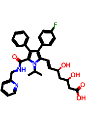 CC(C)n1c(/C=C/[C@@H](O)C[C@@H](O)CC(=O)O)c(-c2ccc(F)cc2)c(-c2ccccc2)c1C(=O)NCc1ccccn1